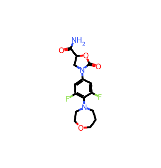 NC(=O)C1CN(c2cc(F)c(N3CCCOCC3)c(F)c2)C(=O)O1